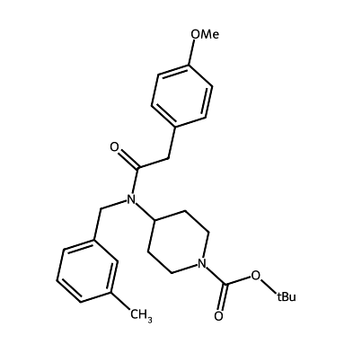 COc1ccc(CC(=O)N(Cc2cccc(C)c2)C2CCN(C(=O)OC(C)(C)C)CC2)cc1